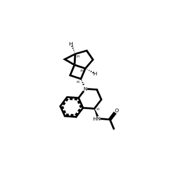 CC(=O)N[C@@H]1CCN([C@@H]2CC34C[C@H]3CC[C@@H]24)c2ccccc21